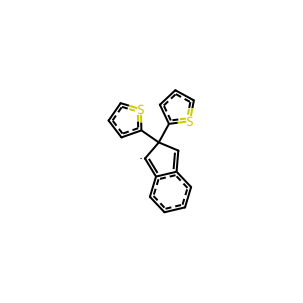 [C]1=c2ccccc2=CC1(c1cccs1)c1cccs1